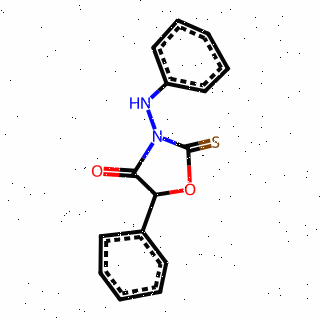 O=C1C(c2ccccc2)OC(=S)N1Nc1ccccc1